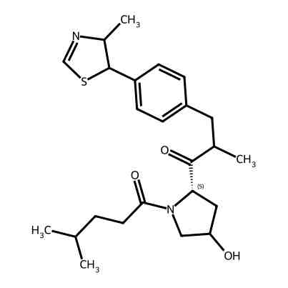 CC(C)CCC(=O)N1CC(O)C[C@H]1C(=O)C(C)Cc1ccc(C2SC=NC2C)cc1